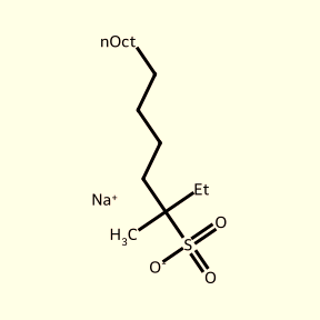 CCCCCCCCCCCCC(C)(CC)S(=O)(=O)[O-].[Na+]